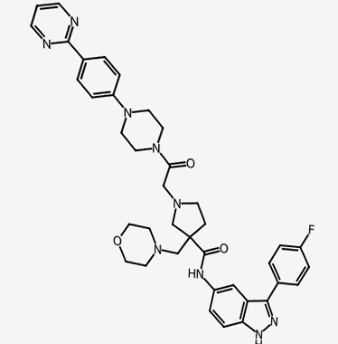 O=C(CN1CCC(CN2CCOCC2)(C(=O)Nc2ccc3[nH]nc(-c4ccc(F)cc4)c3c2)C1)N1CCN(c2ccc(-c3ncccn3)cc2)CC1